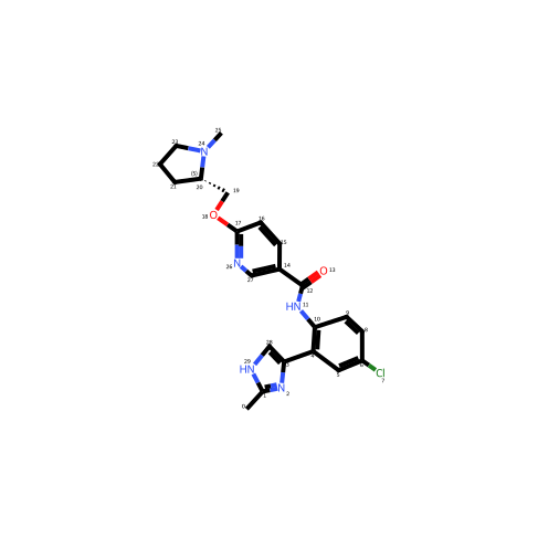 Cc1nc(-c2cc(Cl)ccc2NC(=O)c2ccc(OC[C@@H]3CCCN3C)nc2)c[nH]1